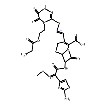 CO/N=C(\C(=O)NC1C(=O)N2C(C(=O)O)=C(/C=C/Sc3n[nH]c(=O)c(=O)n3CCOC(=O)CN)CSC12)c1csc(N)n1